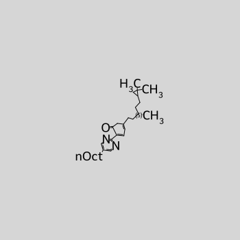 CCCCCCCCc1cnc(C2=CC=C(CC[C@@H](C)CCC3CC3(C)C)CC2=O)nc1